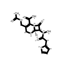 CC(=O)OCC1=C(C(=O)O)N2C(=O)C(N(O)C(=O)Cc3cccs3)[C@H]2SC1